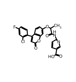 CC(Oc1ccc2c(-c3ccc(F)cc3Cl)cc(=O)oc2c1)C(=O)Nc1ccc(C(=O)O)cn1